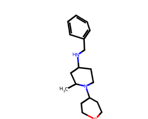 CC1CC(NCc2ccccc2)CCN1C1CCOCC1